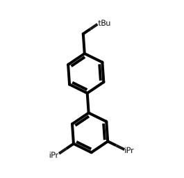 CC(C)c1cc(-c2ccc(CC(C)(C)C)cc2)cc(C(C)C)c1